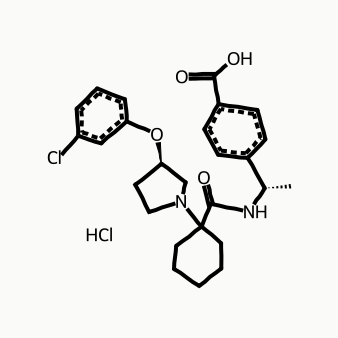 C[C@H](NC(=O)C1(N2CC[C@@H](Oc3cccc(Cl)c3)C2)CCCCC1)c1ccc(C(=O)O)cc1.Cl